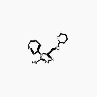 Sc1nnc(COC2CCCCO2)n1-c1cccnc1